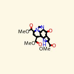 COC(=O)c1cc2c(=O)c3ncn4c(C(=O)OC)cc(C(=O)OC)c(c2[nH]1)c34